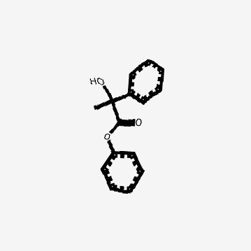 CC(O)(C(=O)Oc1ccccc1)c1ccccc1